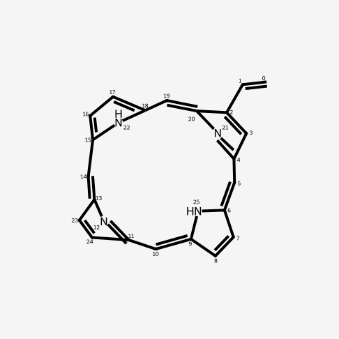 C=CC1=Cc2cc3ccc(cc4nc(cc5ccc(cc1n2)[nH]5)C=C4)[nH]3